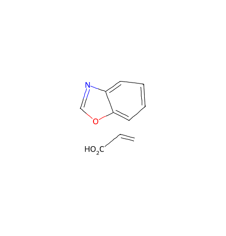 C=CC(=O)O.c1ccc2ocnc2c1